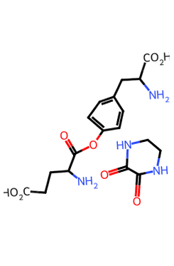 NC(Cc1ccc(OC(=O)C(N)CCC(=O)O)cc1)C(=O)O.O=C1NCCNC1=O